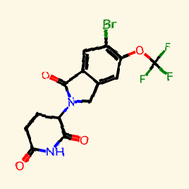 O=C1CCC(N2Cc3cc(OC(F)(F)F)c(Br)cc3C2=O)C(=O)N1